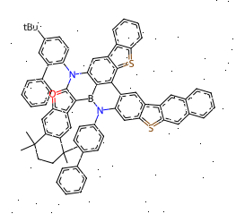 CC(C)(C)c1ccc(N2c3cc4c(sc5ccccc54)c4c3B(c3c2oc2cc5c(cc32)C(C)(C)CCC5(C)C)N(c2ccc(-c3ccccc3)cc2)c2cc3sc5cc6ccccc6cc5c3cc2-4)c(-c2ccccc2)c1